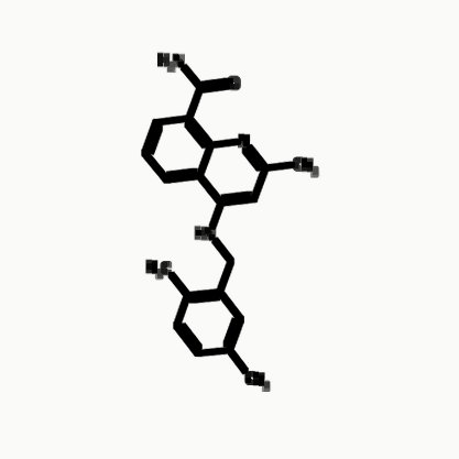 Cc1ccc(C)c(CNc2cc(C)nc3c(C(N)=O)cccc23)c1